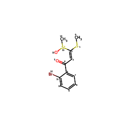 CSC(=CC(=O)c1ccccc1Br)[S+](C)[O-]